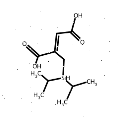 CC(C)[SiH](C/C(=C\C(=O)O)C(=O)O)C(C)C